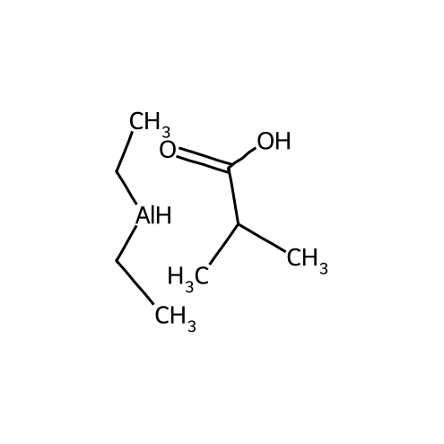 CC(C)C(=O)O.C[CH2][AlH][CH2]C